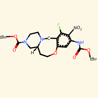 CC(C)(C)OC(=O)Nc1cc2c(c(F)c1[N+](=O)[O-])CN1CCN(C(=O)OC(C)(C)C)C[C@H]1CCO2